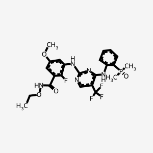 CCONC(=O)c1cc(OC)cc(Nc2ncc(C(F)(F)F)c(Nc3ccccc3P(C)(C)=O)n2)c1F